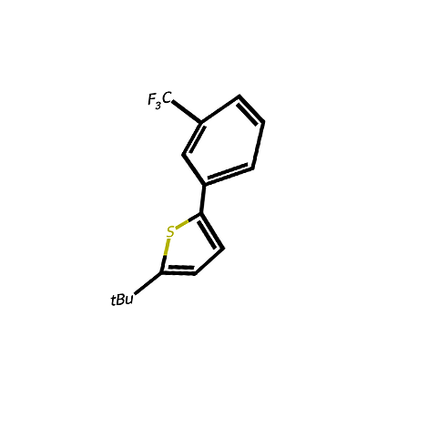 CC(C)(C)c1ccc(-c2cccc(C(F)(F)F)c2)s1